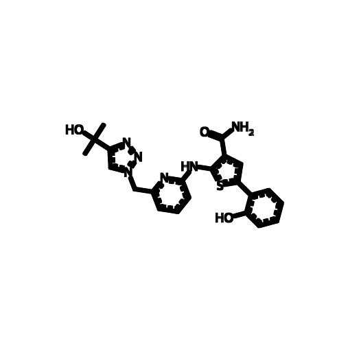 CC(C)(O)c1cn(Cc2cccc(Nc3sc(-c4ccccc4O)cc3C(N)=O)n2)nn1